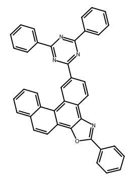 c1ccc(-c2nc(-c3ccccc3)nc(-c3ccc4c(c3)c3c5ccccc5ccc3c3oc(-c5ccccc5)nc43)n2)cc1